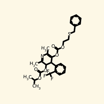 CC1=NC(C)=C(OC(=O)OCCSCc2ccccc2)C(c2ccccc2C(F)(F)F)C1OC(=O)OC(C)C